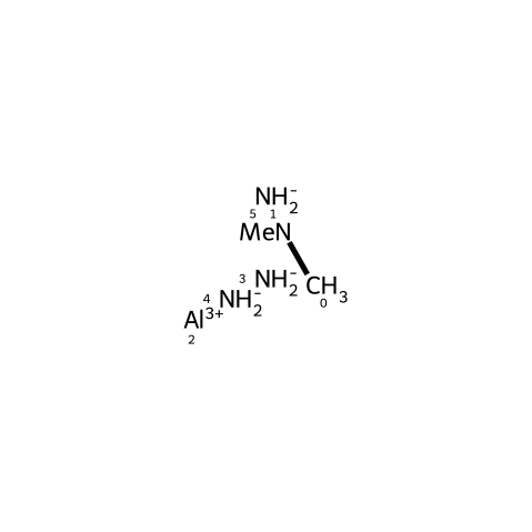 CNC.[Al+3].[NH2-].[NH2-].[NH2-]